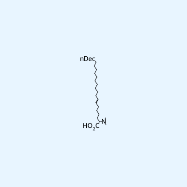 CCCCCCCCCCCCCCCCCCCCC=CCCCCC(C(=O)O)N(C)C